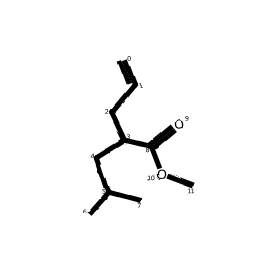 C=CCC(CC(C)C)C(=O)OC